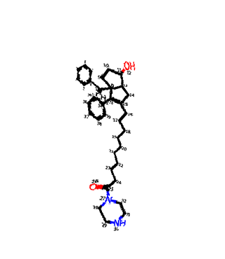 C=C(c1ccccc1)C12CCC(O)C1CC(CCCCCCCCCC(=O)N1CCNCC1)=C2c1ccccc1